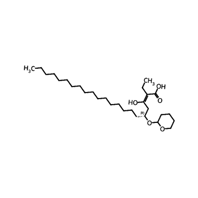 CCCCCCCCCCCCCCCCC[C@H](CC(O)=C(CC)C(=O)O)OC1CCCCO1